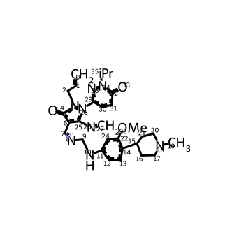 C=CCn1c(=O)c(/C=N\CNc2ccc(C3CCN(C)CC3)c(OC)c2)c(N=C)n1-c1ccc(=O)n(C(C)C)n1